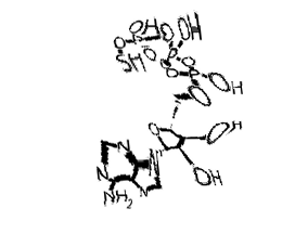 Nc1ncnc2c1ncn2[C@@H]1O[C@H](COP(=O)(O)OP(=O)(O)OP(=O)(O)OS)[C@@H](O)[C@H]1O